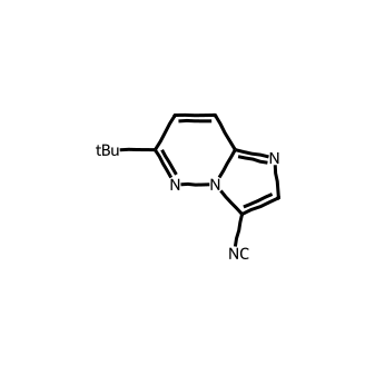 [C-]#[N+]c1cnc2ccc(C(C)(C)C)nn12